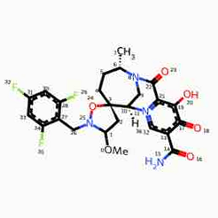 COC1C[C@]2(CC[C@H](C)N3C[C@H]2n2cc(C(N)=O)c(=O)c(O)c2C3=O)ON1Cc1c(F)cc(F)cc1F